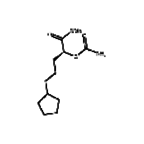 CNC(=O)[C@H](CCCC1CCCC1)OC(N)=O